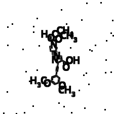 COc1cc(C#Cc2nn([C@H]3CCN(C(=O)OC(C)(C)C)C3)cc2C(=O)O)cc(OC)c1